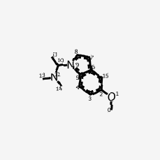 COc1ccc2c(ccn2C(C)N(C)C)c1